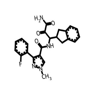 Cn1cc(C(=O)NC(C(=O)C(N)=O)C2Cc3ccccc3C2)c(-c2ccccc2F)n1